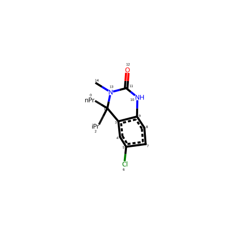 CCCC1(C(C)C)c2cc(Cl)ccc2NC(=O)N1C